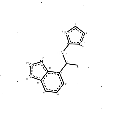 CC(Nc1ncco1)c1cccc2nsnc12